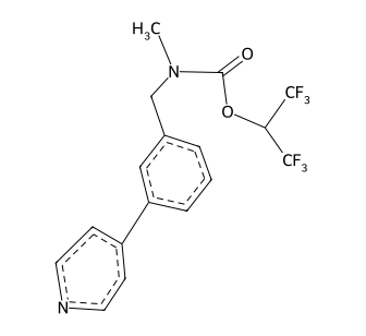 CN(Cc1cccc(-c2ccncc2)c1)C(=O)OC(C(F)(F)F)C(F)(F)F